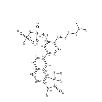 CN(C)CCCOc1ncc(-c2ccc3ncc4c(c3c2)C2(CCC2)C(=O)N4C)cc1NS(=O)(=O)CS(C)(=O)=O